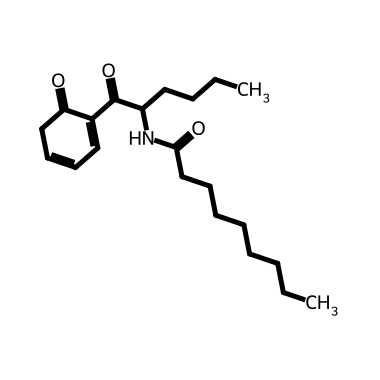 CCCCCCCCC(=O)NC(CCCC)C(=O)C1=CC=CCC1=O